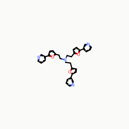 c1cncc(-c2ccc(CCN(CCc3ccc(-c4cccnc4)o3)CCc3ccc(-c4cccnc4)o3)o2)c1